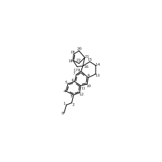 CCCc1ccc2cc3c(cc2c1)CCCC31CC2=CCC1C2